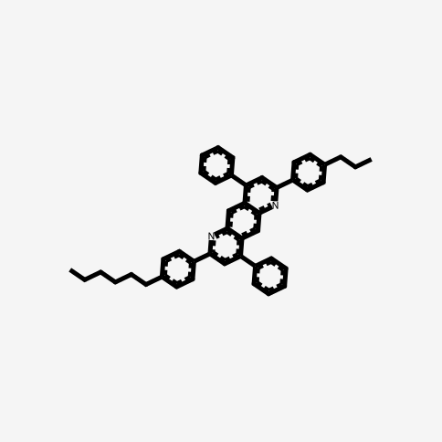 CCCCCCc1ccc(-c2cc(-c3ccccc3)c3cc4nc(-c5ccc(CCC)cc5)cc(-c5ccccc5)c4cc3n2)cc1